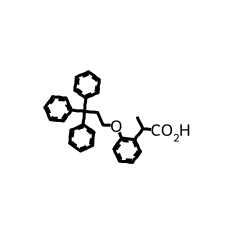 CC(C(=O)O)c1ccccc1OCCC(c1ccccc1)(c1ccccc1)c1ccccc1